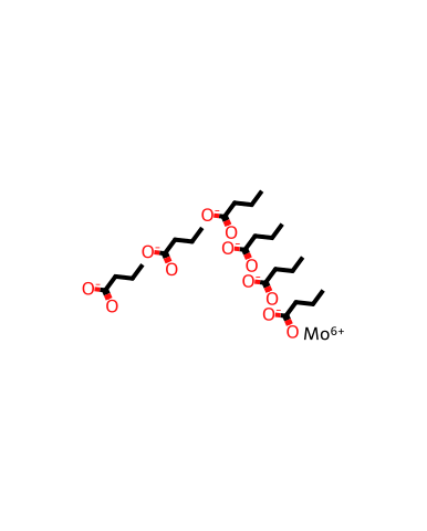 CCCC(=O)[O-].CCCC(=O)[O-].CCCC(=O)[O-].CCCC(=O)[O-].CCCC(=O)[O-].CCCC(=O)[O-].[Mo+6]